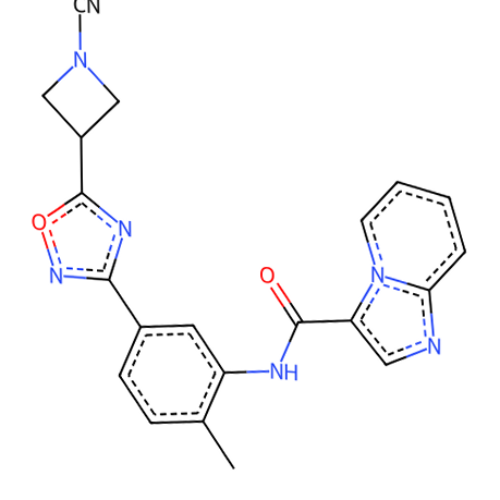 Cc1ccc(-c2noc(C3CN(C#N)C3)n2)cc1NC(=O)c1cnc2ccccn12